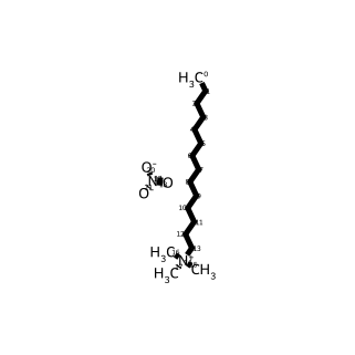 CCCCCCCCCCCCCC[N+](C)(C)C.O=[N+]([O-])[O-]